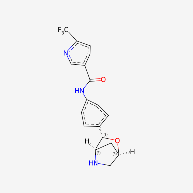 O=C(Nc1ccc([C@@H]2O[C@H]3CN[C@@H]2C3)cc1)c1ccc(C(F)(F)F)nc1